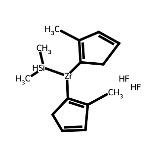 CC1=[C]([Zr]([C]2=C(C)C=CC2)[SiH](C)C)CC=C1.F.F